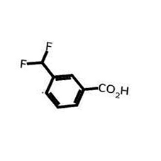 O=C(O)c1cc[c]c(C(F)F)c1